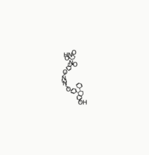 O=C1CC[C@H](N2Cc3cc(OCCN4CCN(CCOc5ccc([C@@H]6c7ccc(O)cc7CC[C@@H]6C6C=CC=CC6)cc5)CC4)ccc3C2=O)C(=O)N1